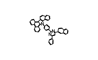 c1ccc(-c2cc(-c3ccc4ccccc4c3)nc(-c3ccc(-n4c5c6ccccc6ccc5c5c6ccccc6c6ccccc6c54)cc3)n2)cc1